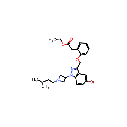 CCOC(=O)Cc1ccccc1OCc1nn(C2CN(CCC(C)C)C2)c2ccc(Br)cc12